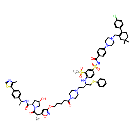 Cc1ncsc1-c1ccc([C@H](C)NC(=O)[C@@H]2C[C@@H](O)CN2C(=O)[C@H](c2cc(OCCCCC(=O)N3CCN(CC[C@H](CSc4ccccc4)Nc4ccc(S(=O)(=O)NC(=O)c5ccc(N6CCN(CC7=C(c8ccc(Cl)cc8)CCC(C)(C)C7)CC6)cc5)cc4S(=O)(=O)C(F)(F)F)CC3)no2)C(C)C)cc1